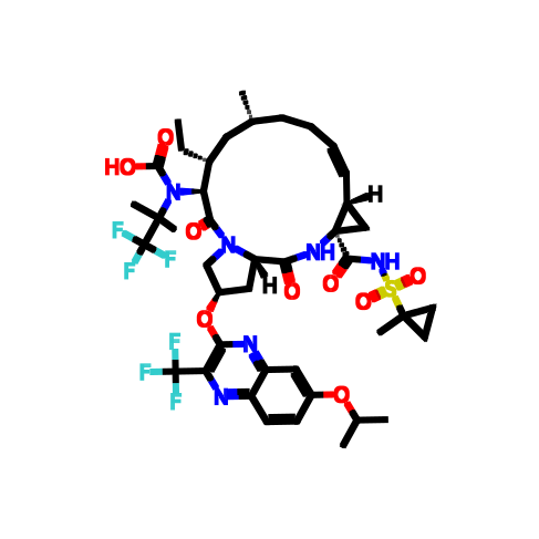 CC[C@@H]1C[C@H](C)CC/C=C\[C@@H]2C[C@@]2(C(=O)NS(=O)(=O)C2(C)CC2)NC(=O)[C@@H]2C[C@@H](Oc3nc4cc(OC(C)C)ccc4nc3C(F)(F)F)CN2C(=O)[C@H]1N(C(=O)O)C(C)(C)C(F)(F)F